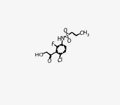 CCCS(=O)(=O)Nc1ccc(Cl)c(C(=O)CO)c1F